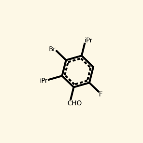 CC(C)c1cc(F)c(C=O)c(C(C)C)c1Br